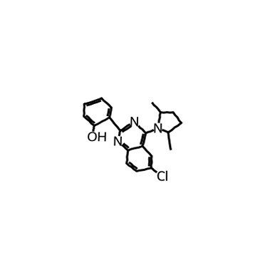 CC1CCC(C)N1c1nc(-c2ccccc2O)nc2ccc(Cl)cc12